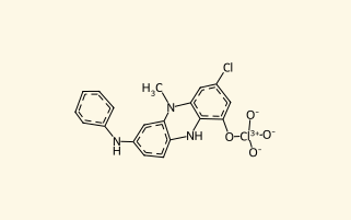 CN1c2cc(Nc3ccccc3)ccc2Nc2c(O[Cl+3]([O-])([O-])[O-])cc(Cl)cc21